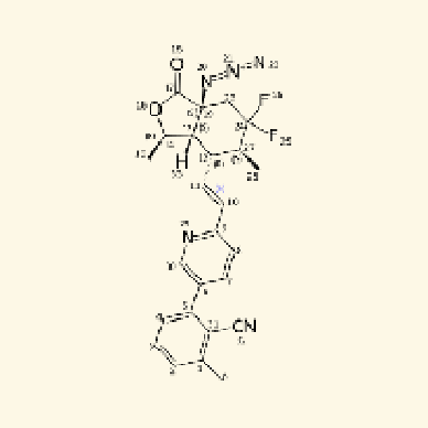 Cc1cccc(-c2ccc(/C=C/[C@@H]3[C@@H]4[C@@H](C)OC(=O)[C@]4(N=[N+]=[N-])CC(F)(F)[C@H]3C)nc2)c1C#N